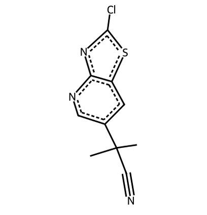 CC(C)(C#N)c1cnc2nc(Cl)sc2c1